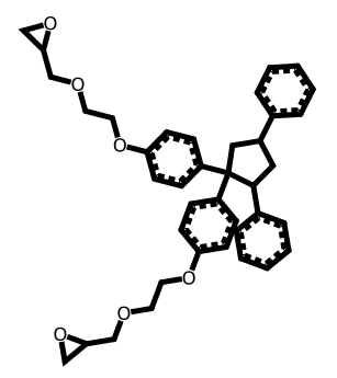 c1ccc(C2CC(c3ccccc3)C(c3ccc(OCCOCC4CO4)cc3)(c3ccc(OCCOCC4CO4)cc3)C2)cc1